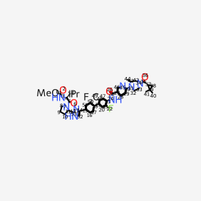 COC(=O)N[C@H](C(=O)N1CCCC1c1nc(-c2ccc(-c3cc(F)c(NC(=O)c4ccc(N5CCN(C(=O)[C@H]6CC6(C)C)CC5C)nc4)cc3C(F)(F)F)cc2)c[nH]1)C(C)C